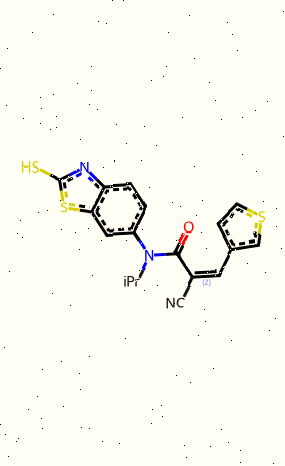 CC(C)N(C(=O)/C(C#N)=C\c1ccsc1)c1ccc2nc(S)sc2c1